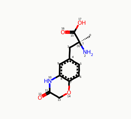 C[C@](N)(Cc1ccc2c(c1)NC(=O)CO2)C(=O)O